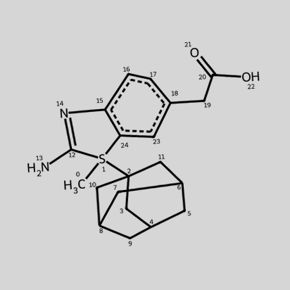 CS1(C23CC4CC(CC(C4)C2)C3)C(N)=Nc2ccc(CC(=O)O)cc21